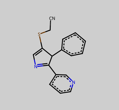 N#CCSC1=CN=C(c2cccnc2)C1c1ccccc1